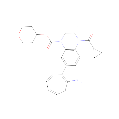 C[C@H]1CN(C(=O)OC2CCOCC2)c2cc(C3=C(N)CC=CC=C3)ccc2N1C(=O)C1CC1